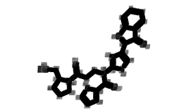 O=C1c2ccccc2OC1c1csc(N(CCC(=O)N2CCCC2CO)C(=O)c2cccs2)n1